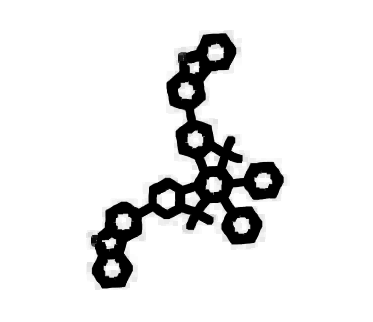 CC1(C)C2=C(C=CC(c3ccc4oc5ccccc5c4c3)C2)c2c3c(c(-c4ccccc4)c(-c4ccccc4)c21)C(C)(C)c1cc(-c2ccc4oc5ccccc5c4c2)ccc1-3